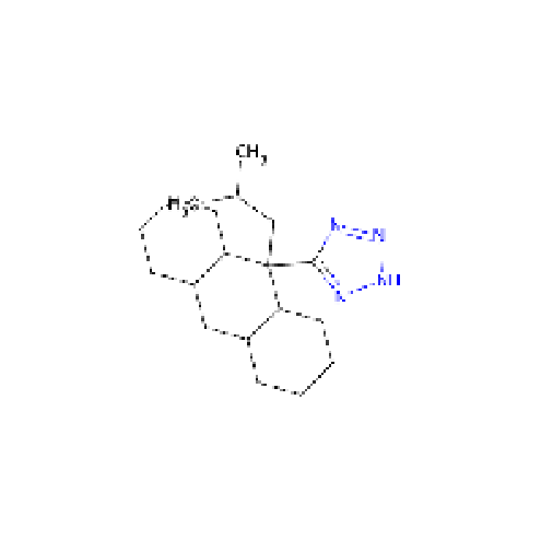 CC(C)CC1(c2nn[nH]n2)C2CCCCC2CC2CCCCC21